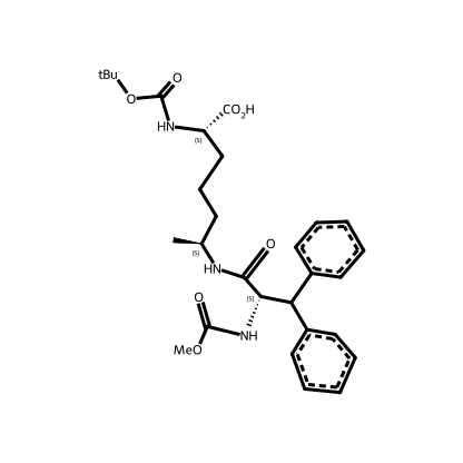 COC(=O)N[C@H](C(=O)N[C@@H](C)CCC[C@H](NC(=O)OC(C)(C)C)C(=O)O)C(c1ccccc1)c1ccccc1